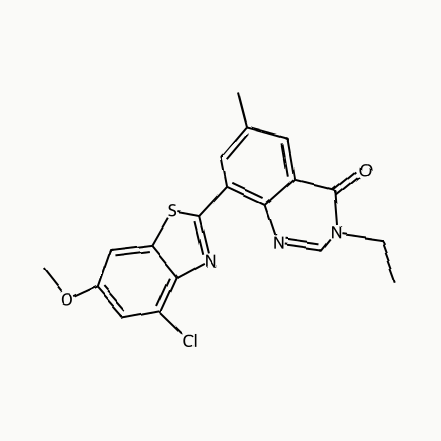 CCn1cnc2c(-c3nc4c(Cl)cc(OC)cc4s3)cc(C)cc2c1=O